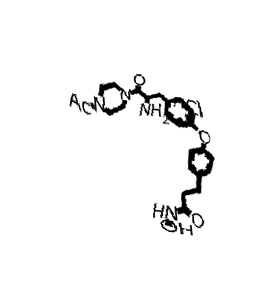 CC(=O)N1CCN(C(=O)C(N)Cc2ccc(Oc3ccc(CCC(=O)NO)cc3)cc2)CC1.Cl